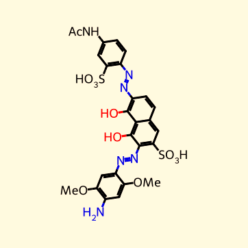 COc1cc(/N=N/c2c(S(=O)(=O)O)cc3ccc(/N=N/c4ccc(NC(C)=O)cc4S(=O)(=O)O)c(O)c3c2O)c(OC)cc1N